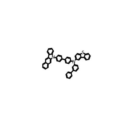 c1ccc(-c2cccc(N(c3ccc(-c4ccc(-n5c6ccccc6c6cc7ccccc7cc65)cc4)cc3)c3ccc4sc5ccccc5c4c3)c2)cc1